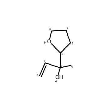 C=CC(C)(O)C1CCCO1